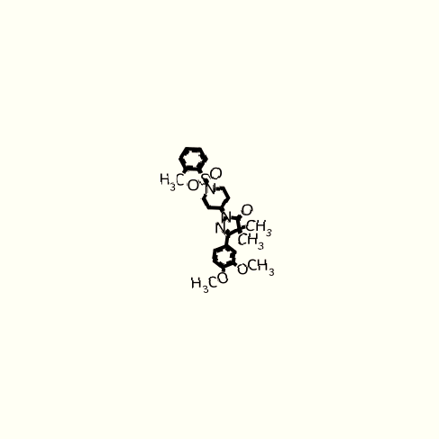 COc1ccc(C2=NN(C3CCN(S(=O)(=O)c4ccccc4C)CC3)C(=O)C2(C)C)cc1OC